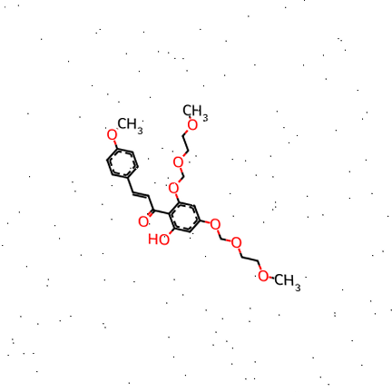 COCCOCOc1cc(O)c(C(=O)/C=C/c2ccc(OC)cc2)c(OCOCCOC)c1